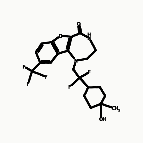 CC1(O)CCC(C(F)(F)CN2CCNC(=O)c3oc4ccc(C(F)(F)F)cc4c32)CC1